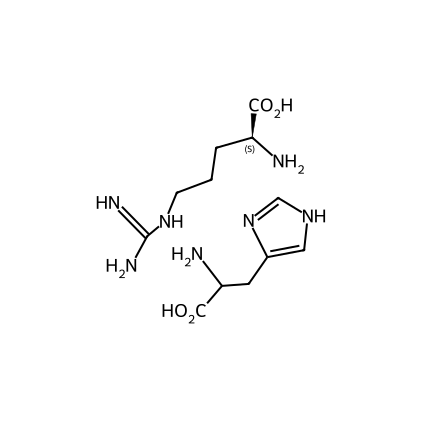 N=C(N)NCCC[C@H](N)C(=O)O.NC(Cc1c[nH]cn1)C(=O)O